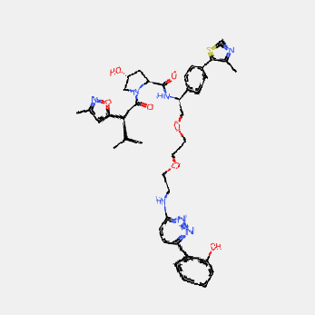 Cc1cc([C@@H](C(=O)N2C[C@H](O)C[C@H]2C(=O)N[C@H](COCCOCCNc2ccc(-c3ccccc3O)nn2)c2ccc(-c3scnc3C)cc2)C(C)C)on1